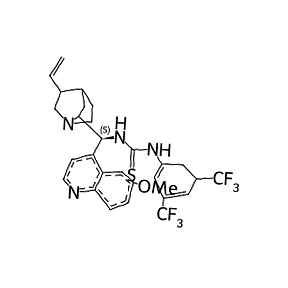 C=CC1CN2CCC1CC2[C@@H](NC(=S)NC1=CC(C(F)(F)F)=CC(C(F)(F)F)C1)c1ccnc2ccc(OC)cc12